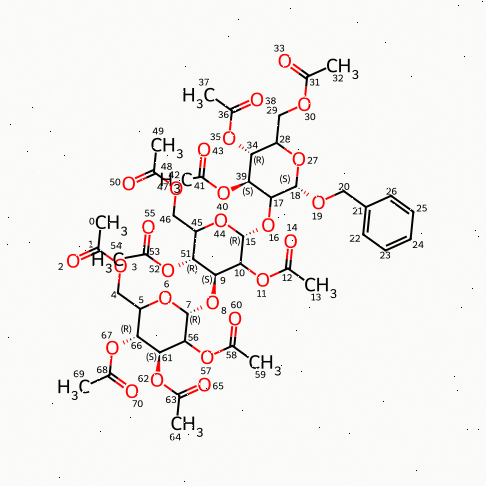 CC(=O)OCC1O[C@H](O[C@@H]2C(OC(C)=O)[C@@H](OC3[C@@H](OCc4ccccc4)OC(COC(C)=O)[C@@H](OC(C)=O)[C@@H]3OC(C)=O)OC(COC(C)=O)[C@H]2OC(C)=O)C(OC(C)=O)[C@@H](OC(C)=O)[C@@H]1OC(C)=O